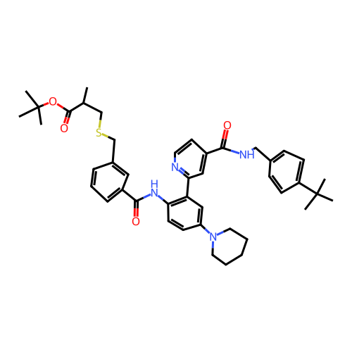 CC(CSCc1cccc(C(=O)Nc2ccc(N3CCCCC3)cc2-c2cc(C(=O)NCc3ccc(C(C)(C)C)cc3)ccn2)c1)C(=O)OC(C)(C)C